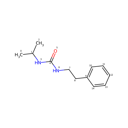 CC(C)NC(=O)NCCc1cc[c]cc1